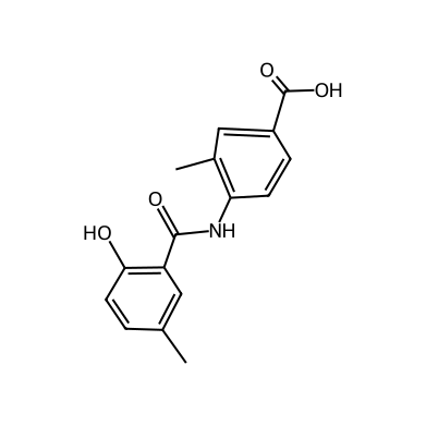 Cc1ccc(O)c(C(=O)Nc2ccc(C(=O)O)cc2C)c1